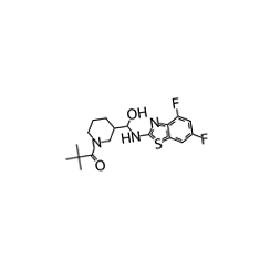 CC(C)(C)C(=O)N1CCCC(C(O)Nc2nc3c(F)cc(F)cc3s2)C1